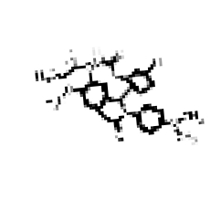 CC[C@@H](C)Oc1cc2c(cc1OC)CC(=O)N(c1ccc(N(C)C)cc1)C2c1ccc(Cl)cc1NC(C)=O